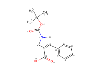 CC(C)(C)OC(=O)N1CC(C(=O)O)=C(c2ccccc2)C1